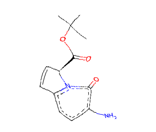 CC(C)(C)OC(=O)[C@@H]1C=Cc2ccc(N)c(=O)n21